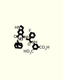 O=C(O)c1cc(NC(=O)C(CNC(=O)c2cc3cc[nH]c3cc2C(=O)NCC23CC4CC(CC(C4)C2)C3)c2cccc(F)c2)cc(C(=O)O)c1